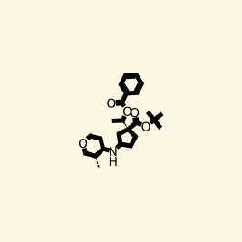 CC(OC(=O)c1ccccc1)[C@]1(C(=O)OC(C)(C)C)CCC(NC2CCOC[C@H]2C)C1